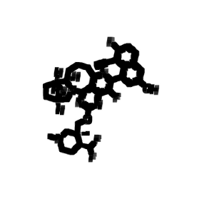 C#Cc1c(F)ccc2cc(O)cc(-c3nc4c5c(nc(OC[C@]6(C)CN(C)CC[C@@H]6C(F)F)nc5c3F)N3C[C@H]5CC[C@H](N5)[C@H]3CCC4)c12